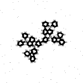 c1ccc(N(c2ccccc2)c2ccc(N(c3ccc(-c4ccc(N(c5ccc6c(c5)C5(CCCCC5)c5ccccc5-6)c5ccc(N(c6ccccc6)c6ccccc6)c6ccccc56)cc4)cc3)c3ccc4c(c3)C3(CCCCC3)c3ccccc3-4)c3ccccc23)cc1